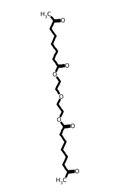 CC(=O)CCCCCC(=O)OCCOCCOC(=O)CCCCCC(C)=O